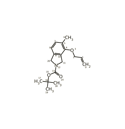 C=CCOc1c(C)ccc2c1CN(C(=O)OC(C)(C)C)C2